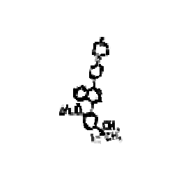 CCC(C)(C)c1ccc(OC)c(-c2ccc(-c3ccc(N4CCSCC4)cc3)c3ccccc23)c1